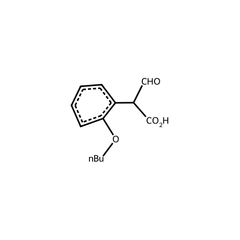 CCCCOc1ccccc1C(C=O)C(=O)O